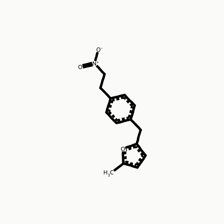 Cc1ccc(Cc2ccc(CC[N+](=O)[O-])cc2)o1